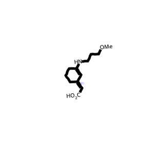 COCCCNC1=C/C(=C/C(=O)O)CCC1